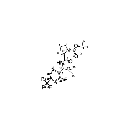 CC(C)(C)OC(=O)N1CCC[C@@H]1C(=O)NC(c1ccc(C(F)(F)F)cc1F)C1CC1